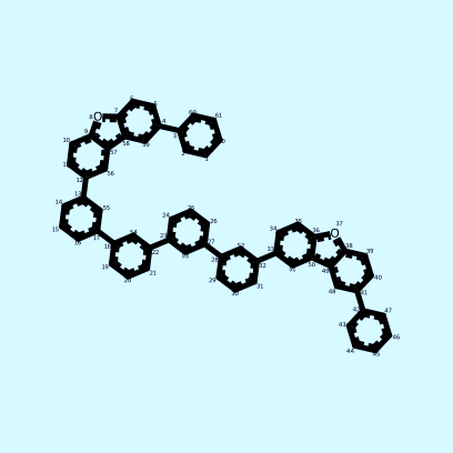 c1ccc(-c2ccc3oc4ccc(-c5cccc(-c6cccc(-c7cccc(-c8cccc(-c9ccc%10oc%11ccc(-c%12ccccc%12)cc%11c%10c9)c8)c7)c6)c5)cc4c3c2)cc1